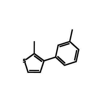 Cc1cccc(-c2ccsc2C)c1